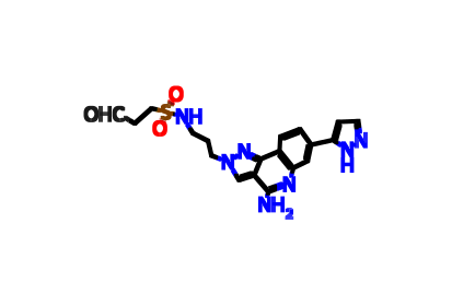 Nc1nc2cc(-c3ccn[nH]3)ccc2c2nn(CCCNS(=O)(=O)CCC=O)cc12